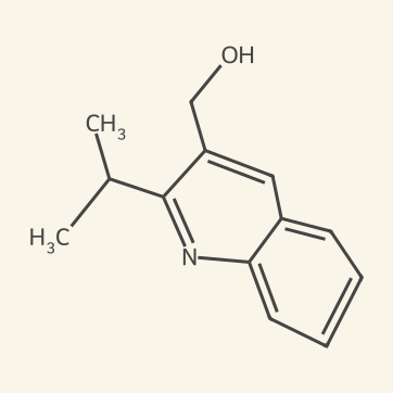 CC(C)c1nc2ccccc2cc1CO